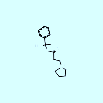 CC(C)(NC(=O)CCN1CCCC1)c1ccccc1